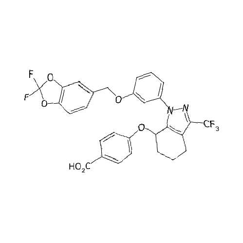 O=C(O)c1ccc(OC2CCCc3c(C(F)(F)F)nn(-c4cccc(OCc5ccc6c(c5)OC(F)(F)O6)c4)c32)cc1